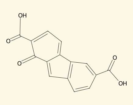 O=C(O)C1=CC=C2C(=Cc3ccc(C(=O)O)cc32)C1=O